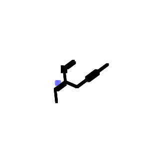 C=N/C(=C/C)CC#CC